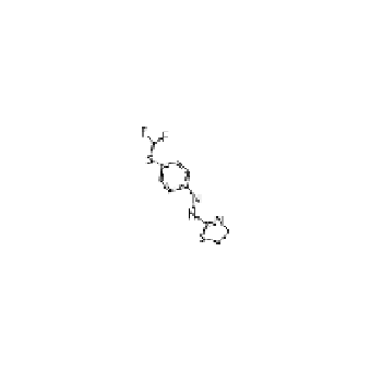 FC(F)Sc1ccc(N=NC2=NCCS2)cc1